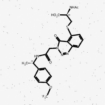 CC(=O)N[C@@H](CSc1cccc2nnn(CC(=O)N[C@@H](C)c3ccc(OC(F)(F)F)cc3)c(=O)c12)C(=O)O